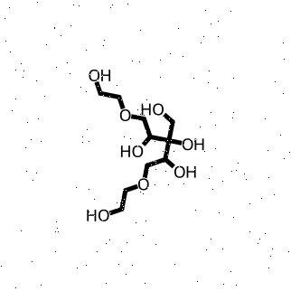 OCCOCC(O)C(O)(CO)C(O)COCCO